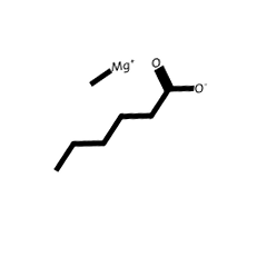 CCCCCC(=O)[O-].[CH3][Mg+]